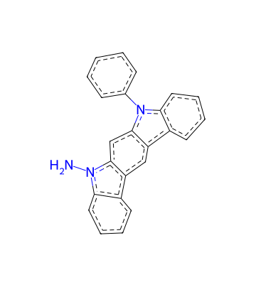 Nn1c2ccccc2c2cc3c4ccccc4n(-c4ccccc4)c3cc21